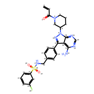 C=CC(=O)N1CCCC(n2nc(-c3ccc(CNS(=O)(=O)c4cccc(F)c4)cc3)c3c(N)ncnc32)C1